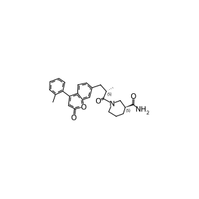 Cc1ccccc1-c1cc(=O)oc2cc(C[C@H](C)C(=O)N3CCC[C@H](C(N)=O)C3)ccc12